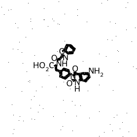 Nc1ccc2[nH]c(=O)n(-c3ccc(C[C@H](NC(=O)c4nc5ccccc5o4)C(=O)O)cc3)c(=O)c2c1